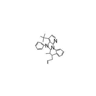 C=CCC1c2ccccc2N2c3nccc(C(C)(C)C)c3N(c3ccccc3)C2C1C